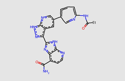 CCC(=O)NC1=CC=C=C(c2cnc3[nH]nc(-c4nc5c(C(N)=O)ccnc5[nH]4)c3c2)C=N1